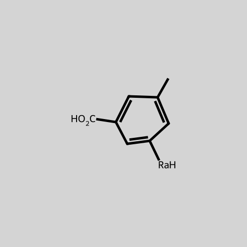 Cc1c[c]([RaH])cc(C(=O)O)c1